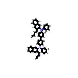 C=C/C=C\c1cc2ccccc2cc1N(c1ccccc1)c1ccc(-c2ccc(N(c3ccccc3)c3cc4c(cc3CCC=C)CCC=C4)cc2)cc1